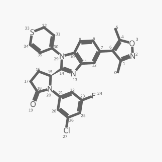 Cc1noc(C)c1-c1ccc2c(c1)nc([C@@H]1CCC(=O)N1c1cc(F)cc(Cl)c1)n2C1=CCSC=C1